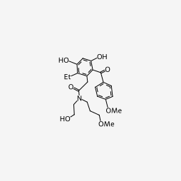 CCc1c(O)cc(O)c(C(=O)c2ccc(OC)cc2)c1CC(=O)N(CCO)CCCOC